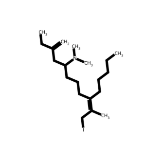 C=C(CC)CC(CCC/C(CCCCC)=C(/C)CI)N(C)C